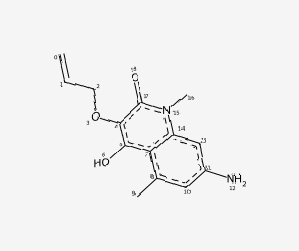 C=CCOc1c(O)c2c(C)cc(N)cc2n(C)c1=O